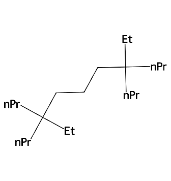 CCCC(CC)(CCC)CCCC(CC)(CCC)CCC